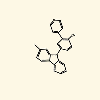 Cc1ccc2c3ccccc3n(-c3ccc(C#N)c(-c4ccncc4)c3)c2c1